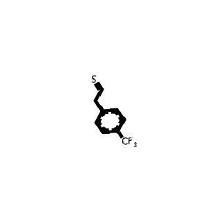 FC(F)(F)c1ccc(CC=S)cc1